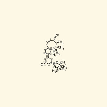 C[C@@H]1C(C#N)/C=C\Cc2ccc(C3C=C(Cl)C=C(B4OC(C)(C)C(C)(C)O4)C3)cc2C(C)(C)[C@H]1C